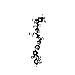 CC(C1CN(C(=O)C2CN(C3CCN(c4ccc5c(c4)C(=O)N(C4CCC(=O)NC4=O)C5=O)CC3)C2)C1)n1cc(NC(=O)c2n[nH]c3c2C[C@@H]2C(F)(F)[C@]2(C)C3)cn1